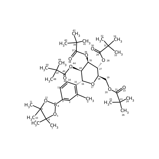 Cc1cc(B2OC(C)(C)C(C)(C)O2)ccc1[C@H]1O[C@H](COC(=O)C(C)(C)C)[C@@H](OC(=O)C(C)(C)C)[C@H](OC(=O)C(C)(C)C)[C@@H]1OC(=O)C(C)(C)C